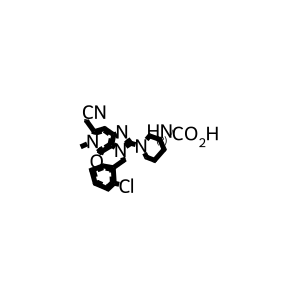 Cn1c(CC#N)cc2nc(N3CCC[C@@H](NC(=O)O)C3)n(Cc3ccccc3Cl)c2c1=O